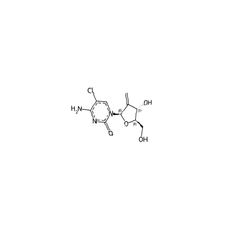 C=C1[C@H](n2cc(Cl)c(N)nc2=O)O[C@H](CO)[C@H]1O